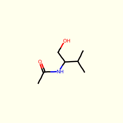 CC(=O)NC(CO)C(C)C